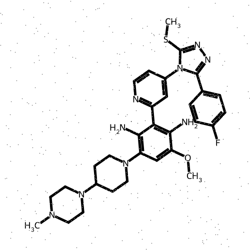 COc1cc(N2CCC(N3CCN(C)CC3)CC2)c(N)c(-c2cc(-n3c(SC)nnc3-c3ccc(F)cc3)ccn2)c1N